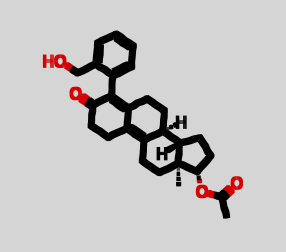 CC(=O)O[C@H]1CC[C@H]2[C@@H]3CCC4=C(c5ccccc5CO)C(=O)CCC4=C3CC[C@]12C